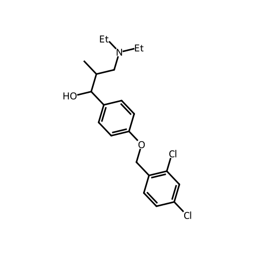 CCN(CC)CC(C)C(O)c1ccc(OCc2ccc(Cl)cc2Cl)cc1